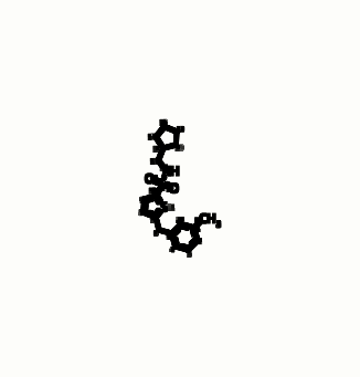 Cc1cccc(Cc2ccc(S(=O)(=O)NCC3CCCC3)s2)c1